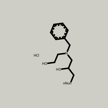 CCCCCCCCCCC(O)CN(CCO)Cc1ccccc1.Cl